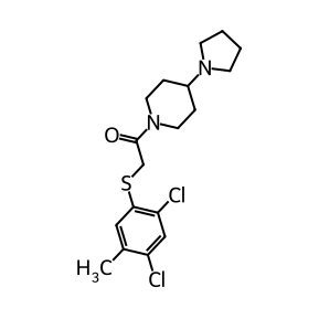 Cc1cc(SCC(=O)N2CCC(N3CCCC3)CC2)c(Cl)cc1Cl